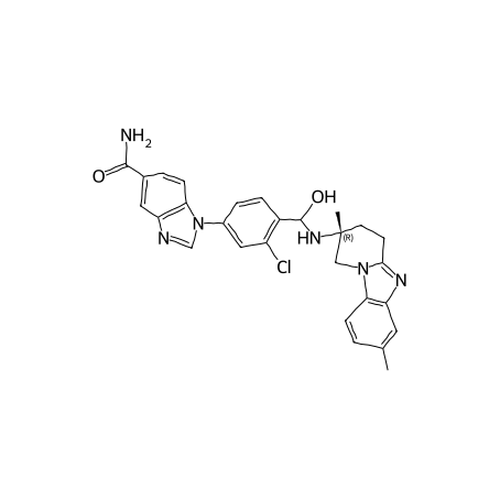 Cc1ccc2c(c1)nc1n2C[C@](C)(NC(O)c2ccc(-n3cnc4cc(C(N)=O)ccc43)cc2Cl)CC1